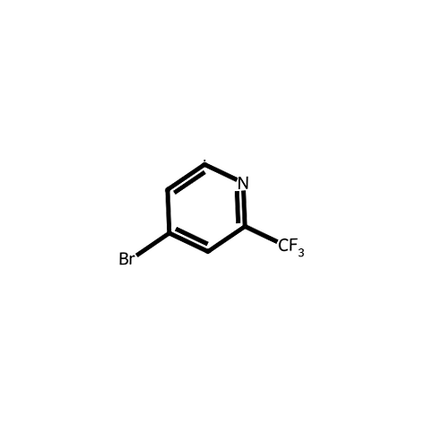 FC(F)(F)c1cc(Br)c[c]n1